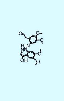 COc1cc(N)c(CC=O)cc1OC.COc1cc2nncc(O)c2cc1OC